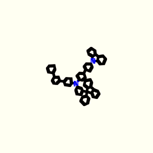 c1ccc(-c2cccc(-c3ccc(N(c4ccc(-c5ccc(-n6c7ccccc7c7ccccc76)cc5)cc4)c4cccc(C5(c6ccccc6)c6ccccc6-c6ccccc65)c4)cc3)c2)cc1